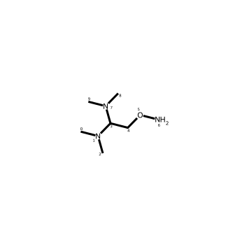 CN(C)C(CON)N(C)C